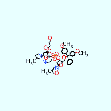 COc1ccc(C(OC[C@H]2O[C@@H](N3C=C(C)COC3)CC2OP(=O)(OCCC#N)OC[C@H]2O[C@@H](N3C=C(C)CC3)C[C@H]2OC(=O)CCC=O)(c2ccccc2)c2ccc(OC)cc2)cc1